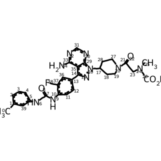 Cc1cccc(NC(=O)Nc2ccc(-c3nn(C4CCN(C(=O)CN(C)C(=O)O)CC4)c4ncnc(N)c34)cc2F)c1